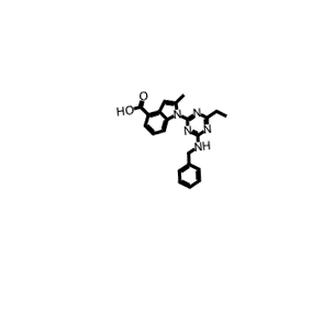 CCc1nc(NCc2ccccc2)nc(-n2c(C)cc3c(C(=O)O)cccc32)n1